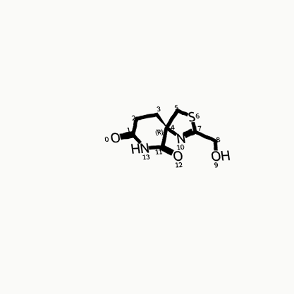 O=C1CC[C@]2(CSC(CO)=N2)C(=O)N1